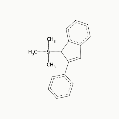 C[Si](C)(C)C1C(c2ccccc2)=Cc2ccccc21